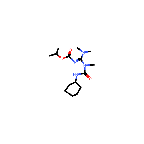 CC(C)OC(=O)N=C(N(C)C)N(C)C(=O)NC1CCCCC1